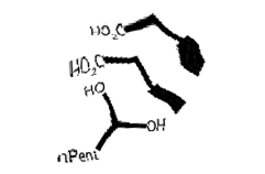 C#CCC(=O)O.C#CCC(=O)O.CCCCCC(O)O